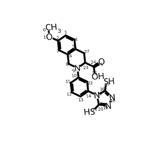 COc1ccc2c(c1)CN(c1cccc(-n3c(S)nnc3S)c1)C(C(=O)O)C2